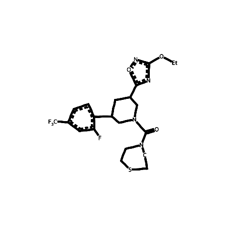 CCOc1noc(C2CC(c3ccc(C(F)(F)F)cc3F)CN(C(=O)N3CCSCC3)C2)n1